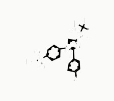 CS(=O)(=O)c1ccc(-n2cc(S(=O)(=O)C(F)(F)F)nc2-c2ccc(Cl)cc2)cc1